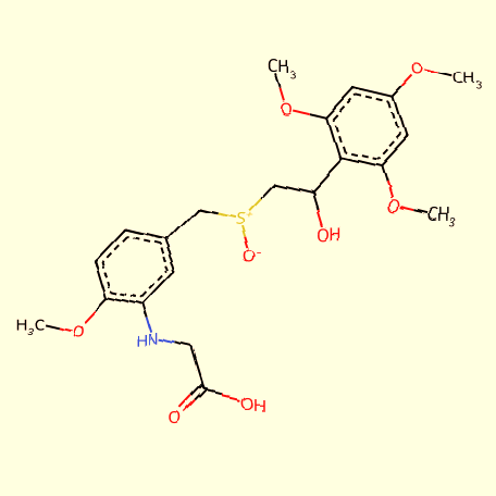 COc1cc(OC)c(C(O)C[S+]([O-])Cc2ccc(OC)c(NCC(=O)O)c2)c(OC)c1